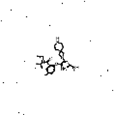 CCN(C(=O)c1cc(F)ccc1Oc1nnc(NC)nc1N1CC2(CCNCC2)C1)C(C)C